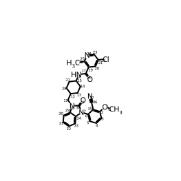 COc1cccc(-n2c(=O)n(CC3CCC(NC(=O)c4cc(Cl)cnc4C)CC3)c3ccccc32)c1C#N